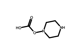 O=C(O)ON1CCNCC1